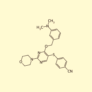 CN(C)c1cccc(COc2nc(N3CCOCC3)ncc2Sc2ccc(C#N)cc2)c1